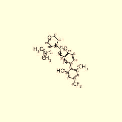 Cc1cc(C(F)(F)F)cc(O)c1-c1ccc2oc(N3CCOC[C@H]3CN(C)C)nc2n1